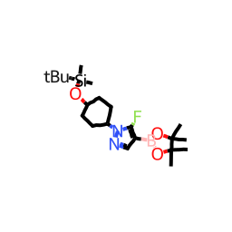 CC1(C)OB(c2cnn(C3CCC(O[Si](C)(C)C(C)(C)C)CC3)c2F)OC1(C)C